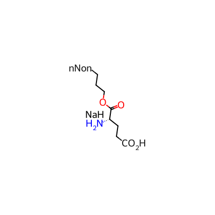 CCCCCCCCCCCCOC(=O)[C@@H](N)CCC(=O)O.[NaH]